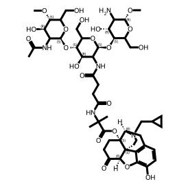 CO[C@@H]1OC(CO)[C@@H](O[C@@H]2OC(CO)[C@@H](O[C@@H]3OC(CO)[C@@H](OC)[C@H](O)C3NC(C)=O)[C@H](O)C2NC(=O)CCC(=O)NC(C)(C)C(=O)O[C@@]23CCC(=O)[C@@H]4Oc5c(O)ccc6c5[C@@]42CCN(CC2CC2)[C@@H]3C6)[C@H](O)C1N